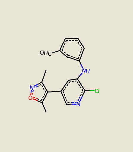 Cc1noc(C)c1-c1cnc(Cl)c(Nc2cccc(C=O)c2)c1